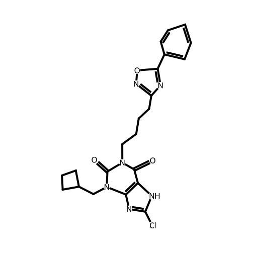 O=c1c2[nH]c(Cl)nc2n(CC2CCC2)c(=O)n1CCCCc1noc(-c2ccccc2)n1